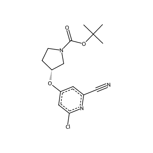 CC(C)(C)OC(=O)N1CC[C@@H](Oc2cc(Cl)nc(C#N)c2)C1